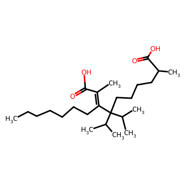 CCCCCCCC(=C(C)C(=O)O)C(CCCCC(C)C(=O)O)(C(C)C)C(C)C